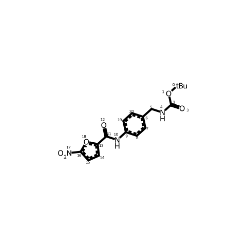 CC(C)(C)OC(=O)NCc1ccc(NC(=O)c2ccc([N+](=O)[O-])o2)cc1